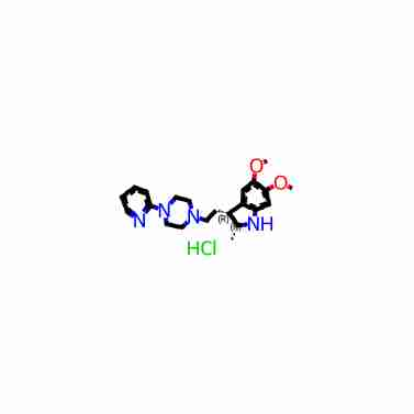 COc1cc2c(cc1OC)[C@@H](CCN1CCN(c3ccccn3)CC1)[C@@H](C)N2.Cl